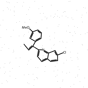 C/C=C(\c1cccc(OC)c1)c1ccc2ccc(Cl)cc2n1